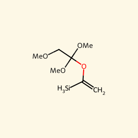 C=C([SiH3])OC(COC)(OC)OC